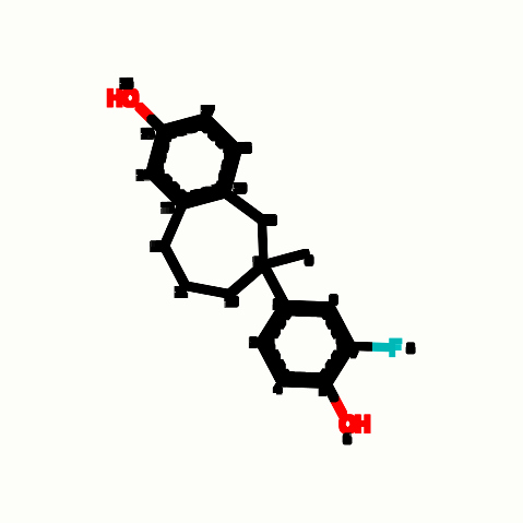 CC1(c2ccc(O)c(F)c2)CCCc2cc(O)ccc2C1